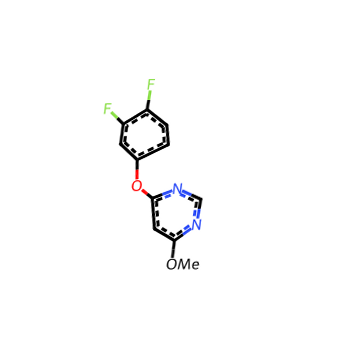 COc1cc(Oc2ccc(F)c(F)c2)ncn1